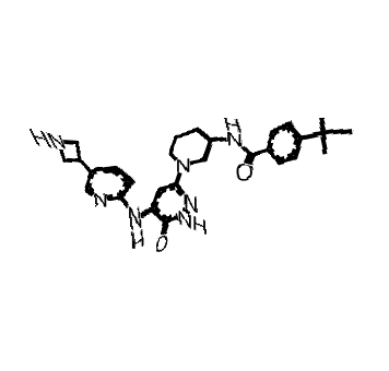 CC(C)(C)c1ccc(C(=O)NC2CCCN(c3cc(Nc4ccc(C5CNC5)cn4)c(=O)[nH]n3)C2)cc1